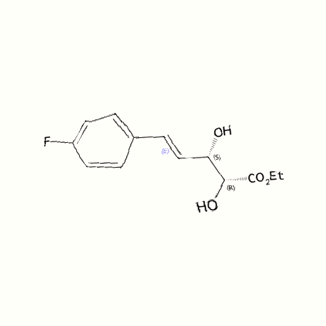 CCOC(=O)[C@H](O)[C@@H](O)/C=C/c1ccc(F)cc1